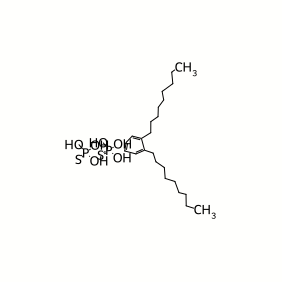 CCCCCCCCCc1ccccc1CCCCCCCCC.OP(O)(O)=S.OP(O)(O)=S